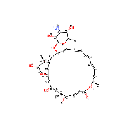 CC1O[C@@H](O[C@H]2/C=C/C=C/C=C/C=C/C[C@@H](C)OC(=O)/C=C/C3O[C@@H]3CC(O)C[C@]3(O)CC(O)[C@@H](C)[C@H](C2)C3)C(O)C(N)[C@@H]1O